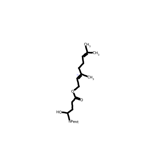 CCCCCC(O)CCC(=O)OC/C=C(\C)CCC=C(C)C